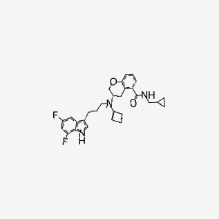 O=C(NCC1CC1)c1cccc2c1CC(N(CCCc1c[nH]c3c(F)cc(F)cc13)C1CCC1)CO2